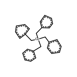 c1ccc([CH2][Ge]([CH2]c2ccccc2)([CH2]c2ccccc2)[CH2]c2ccccc2)cc1